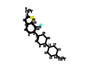 CCCc1cc2ccc(C3=CCC(C4CCC(CCC)CC4)CC3)c(F)c2s1